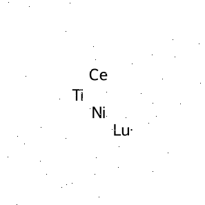 [Ce].[Lu].[Ni].[Ti]